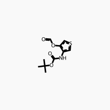 CC(C)(C)OC(=O)Nc1cscc1OC=O